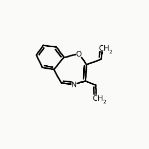 C=CC1=C(C=C)Oc2ccccc2C=N1